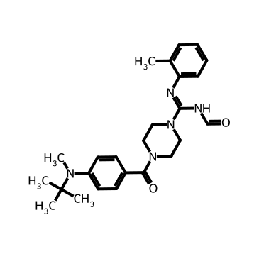 Cc1ccccc1/N=C(\NC=O)N1CCN(C(=O)c2ccc(N(C)C(C)(C)C)cc2)CC1